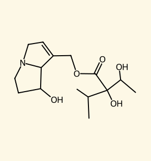 CC(C)C(O)(C(=O)OCC1=CCN2CCC(O)C12)C(C)O